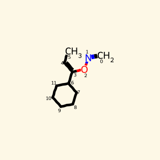 C=NO/C(=C\C)C1CCCCC1